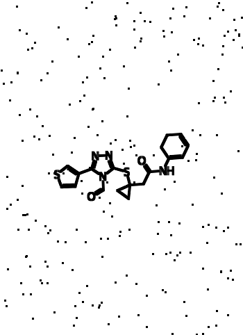 O=Cn1c(SC2(CC(=O)NC3=CC=CCC3)CC2)nnc1-c1ccsc1